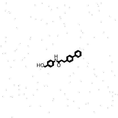 O=C(CCc1ccc(-c2ccccc2)cc1)Nc1ccc(CO)cc1